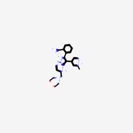 Cc1cc(-c2c(-c3ccccc3C#N)nn3ccc(CN4CCOCC4)nc23)cc(Cl)n1